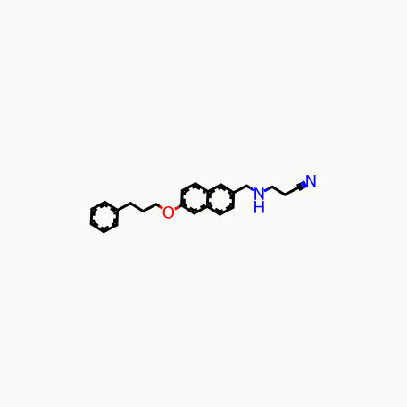 N#CCCNCc1ccc2cc(OCCCc3ccccc3)ccc2c1